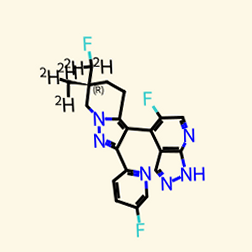 [2H]C([2H])([2H])[C@@]1(C([2H])([2H])F)CCc2c(-c3c(F)cnc4[nH]ncc34)c(-c3ccc(F)cn3)nn2C1